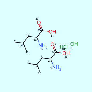 CC(C)CC(N)C(=O)O.CC(C)CC(N)C(=O)O.Cl.Cl